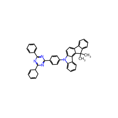 CC1(C)c2ccccc2-c2ccc3c(c21)c1ccccc1n3-c1ccc(-c2nc(-c3ccccc3)nc(C3C=CC=CC3)n2)cc1